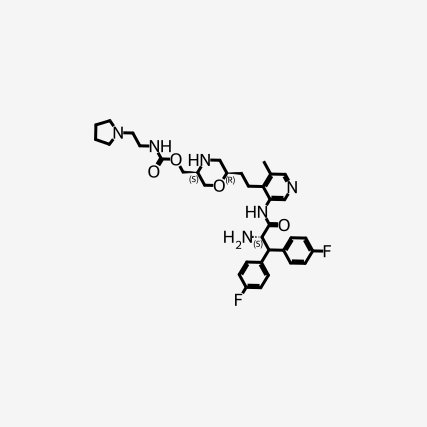 Cc1cncc(NC(=O)[C@@H](N)C(c2ccc(F)cc2)c2ccc(F)cc2)c1CC[C@@H]1CN[C@H](COC(=O)NCCN2CCCC2)CO1